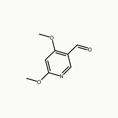 COc1cc(OC)c(C=O)cn1